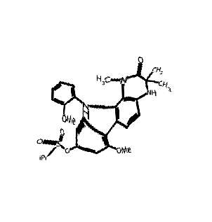 COc1ccccc1NCc1c(-c2ccc(OS(=O)(=O)C(C)C)cc2OC)ccc2c1N(C)C(=O)C(C)(C)N2